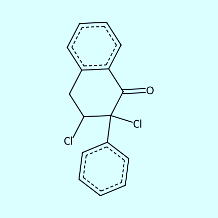 O=C1c2ccccc2CC(Cl)C1(Cl)c1ccccc1